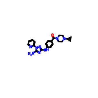 Nc1nc(Nc2ccc(C(=O)N3CCN(C4CC4)CC3)cc2)nn1-c1ccccn1